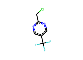 FC(F)(F)c1cnc(CCl)nc1